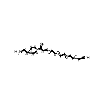 C#CCOCCOCCOCCOCCC(=O)N1CCN(CCN)CC1